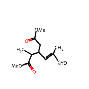 COC(=O)CC(/C=C(\C)C=O)C(C)C(=O)OC